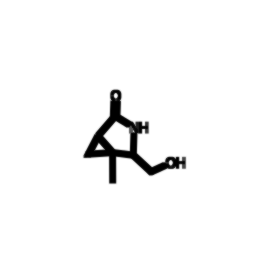 CC12CC1C(=O)NC2CO